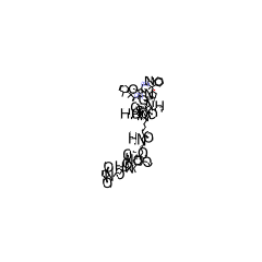 C=C(/C=C1\C(=O)C(/C=C2/N(C)c3ccccc3C2(C)C)=C1N1CCC[C@@H]1C(=O)NC(CS(=O)(=O)O)C(=O)NCCCCC(=O)NCCOc1cc([N+](=O)[O-])c(C(C)NCCOCCN2C(=O)C=CC2=O)cc1OC)C(C)(C)c1ccccc1C